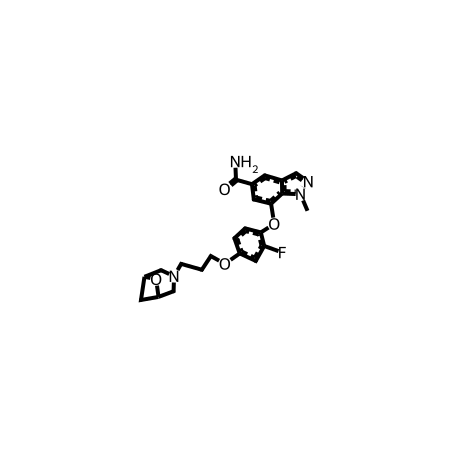 Cn1ncc2cc(C(N)=O)cc(Oc3ccc(OCCCN4CC5CC(C4)O5)cc3F)c21